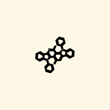 Cc1nc2c3ccccc3n(-c3ccccc3)c2c2c(C)cc3c4ccccc4n(-c4ccccc4)c3c12